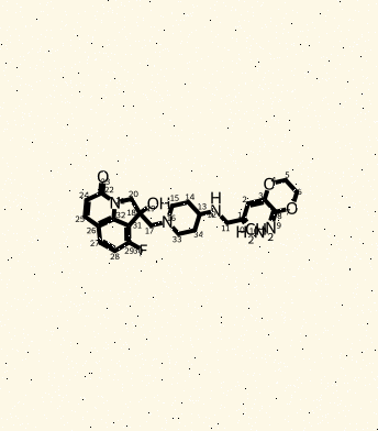 C=C(/C=C1/OCCO/C1=N/N)CNC1CCN(CC2(O)Cn3c(=O)ccc4ccc(F)c2c43)CC1